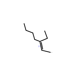 [CH2]/C=C(\CC)CCCC